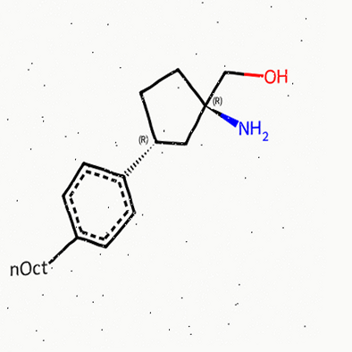 CCCCCCCCc1ccc([C@@H]2CC[C@](N)(CO)C2)cc1